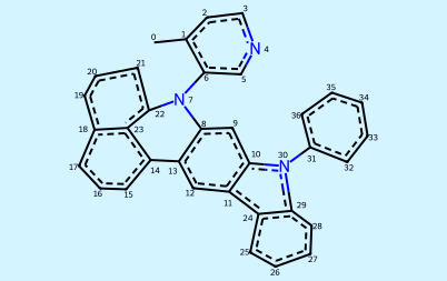 Cc1ccncc1N1c2cc3c(cc2-c2cccc4cccc1c24)c1ccccc1n3-c1ccccc1